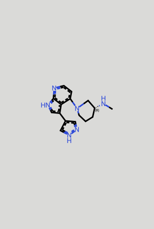 CN[C@@H]1CCCN(c2ccnc3[nH]cc(-c4cn[nH]c4)c23)C1